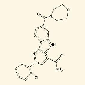 NC(=O)c1cc(-c2ccccc2Cl)nc2c1[nH]c1cc(C(=O)N3CCOCC3)ccc12